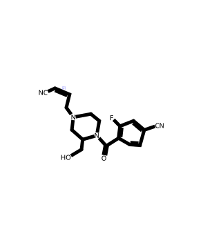 N#C/C=C\CN1CCN(C(=O)c2ccc(C#N)cc2F)C(CO)C1